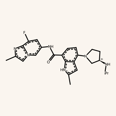 Cc1cn2cc(NC(=O)c3ccc(N4CC[C@@H](NC(C)C)C4)c4cc(C)[nH]c34)cc(F)c2n1